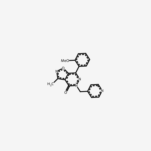 COc1ccccc1-c1nn(Cc2ccncc2)c(=O)c2c(C)noc12